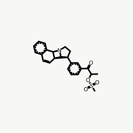 CC(OS(C)(=O)=O)C(=O)c1cccc(C23CCN4C5c6ccccc6C=CC52C43)c1